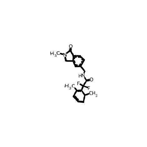 CC1=C(C(F)(F)C(=O)NCc2ccc3c(c2)CN(C)C3=O)C(C)CC=C1